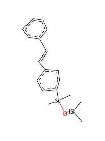 C[SiH](C)O[Si](C)(C)c1ccc(/C=C/c2ccccc2)cc1